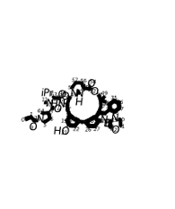 C=CC(=O)N1CC[C@H](C(=O)N(C)[C@H](C(=O)N[C@H]2Cc3cc(O)cc(c3)-c3ccc4c(c3)c(c(-c3ccccc3N3CCOCC3)n4CC)CC(C)(C)COC(=O)[C@@H]3CCCN(N3)C2=O)C(C)C)C1